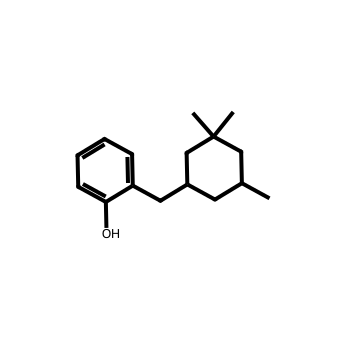 CC1CC(Cc2ccccc2O)CC(C)(C)C1